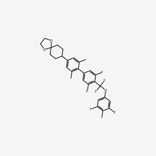 Cc1cc(C2CCC3(CC2)OCCO3)cc(C)c1-c1cc(F)c(C(F)(F)Oc2cc(F)c(C)c(F)c2)c(F)c1